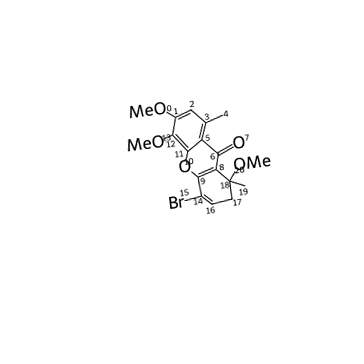 COc1cc(C)c2c(=O)c3c(oc2c1OC)C(Br)=CCC3(C)OC